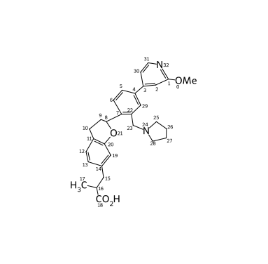 COc1cc(-c2ccc(C3CCc4ccc(CC(C)C(=O)O)cc4O3)c(CN3CCCC3)c2)ccn1